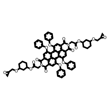 O=C(CN1C(=O)c2cc(Oc3ccccc3)c3c4c(Oc5ccccc5)cc5c6c(cc(Oc7ccccc7)c(c7c(Oc8ccccc8)cc(c2c37)C1=O)c64)C(=O)N(CC(=O)OC1CCCC(OCC2CO2)C1)C5=O)OC1CCCC(OCC2CO2)C1